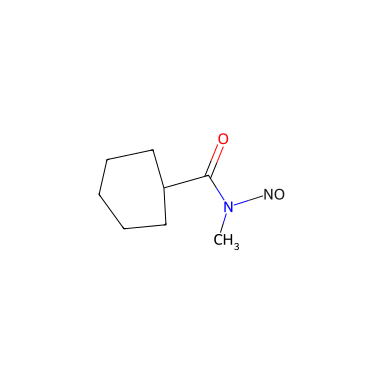 CN(N=O)C(=O)C1CCCCC1